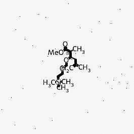 C=C(C)C[C@@H](OCOCC[Si](C)(C)C)[C@H](C)C(=O)OC